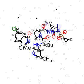 COc1cnc(O[C@@H]2C[C@@H](C(=O)N[C@]3(C(=O)NS(=O)(=O)C4CC4)C[C@H]3I)N(C(=O)C(Nc3cncc(C)c3)C(C)(C)C)C2)c2cc(Cl)ccc12